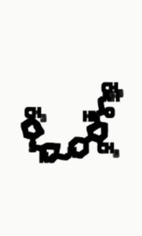 CNCC(=O)Nc1ccc(C)c(C2CCN(Cc3ccc(Sc4ccc(C)cc4)nc3)CC2)c1